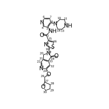 O=C(Nc1cnccc1N1CCNCC1)c1csc(N2Cc3cnc(OCC4CCCO4)cc3C2=O)n1